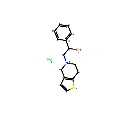 Cl.OC(CN1CCc2sccc2C1)c1ccccc1